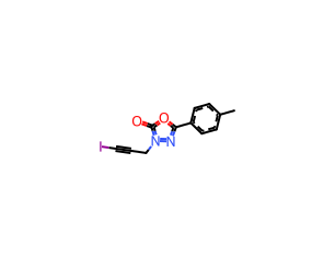 Cc1ccc(-c2nn(CC#CI)c(=O)o2)cc1